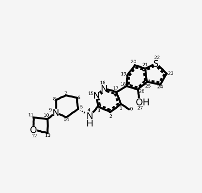 Cc1cc(N[C@H]2CCCN(C3COC3)C2)nnc1-c1ccc2sccc2c1O